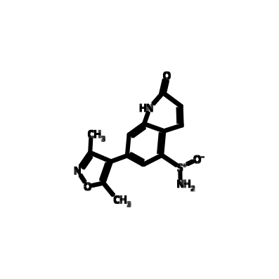 Cc1noc(C)c1-c1cc([S+](N)[O-])c2ccc(=O)[nH]c2c1